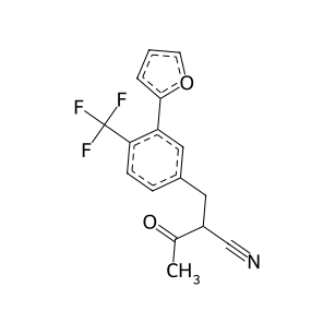 CC(=O)C(C#N)Cc1ccc(C(F)(F)F)c(-c2ccco2)c1